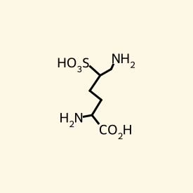 NCC(CCC(N)C(=O)O)S(=O)(=O)O